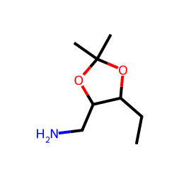 CCC1OC(C)(C)OC1CN